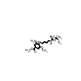 COC(=O)c1cc(N)c(NCC=CCNC(=O)OC(C)(C)C)c(OC)c1